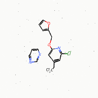 Clc1cc(C(Cl)(Cl)Cl)cc(OCc2ccco2)n1.c1cncnc1